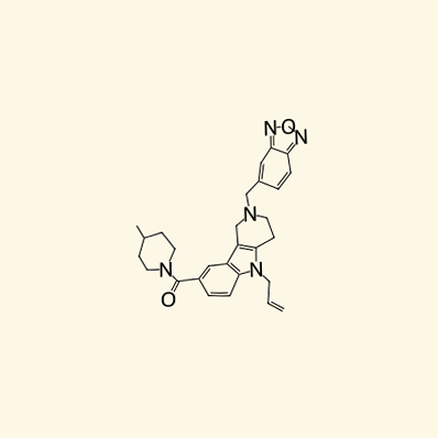 C=CCn1c2c(c3cc(C(=O)N4CCC(C)CC4)ccc31)CN(Cc1ccc3nonc3c1)CC2